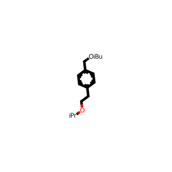 CC(C)COCc1ccc(CCOC(C)C)cc1